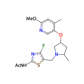 COc1cc(C)c(OC2CC(C)N(Cc3sc(NC(C)=O)nc3F)C2)cn1